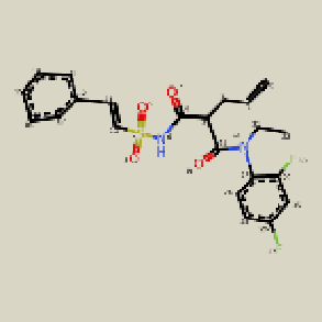 C=CCC(C(=O)NS(=O)(=O)C=Cc1ccccc1)C(=O)N(CC)c1ccc(F)cc1F